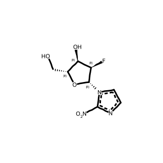 O=[N+]([O-])c1nccn1[C@@H]1O[C@H](CO)[C@@H](O)[C@H]1F